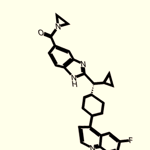 O=C(c1ccc2[nH]c([C@@H](C3CCC(c4ccnc5ccc(F)cc45)CC3)C3CC3)nc2c1)N1CC1